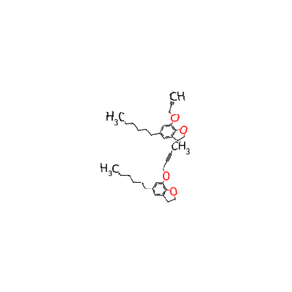 C#CCOc1cc(CCCCCC)cc2c1OCC2.CC#CCOc1cc(CCCCCC)cc2c1OCC2